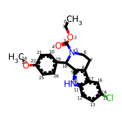 CCOC(=O)N1CCc2c([nH]c3ccc(Cl)cc23)C1c1ccc(OC)cc1